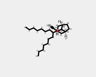 CCCCCCCC(CCCCCCC)N1C[C@H]2CC[C@@H](C1)C2NC#N